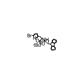 CC(C)(C)OC(=O)C(Cc1ccc(Br)nc1)NC(=O)OCC1c2ccccc2-c2ccccc21